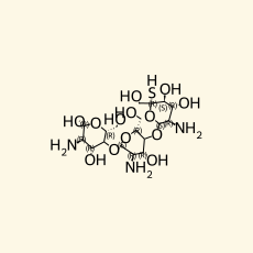 N[C@H]1[C@@H](OC2[C@@H](CO)O[C@@H](OC3[C@@H](CO)O[C@@H](O)[C@H](N)[C@H]3O)[C@H](N)[C@H]2O)O[C@@](S)(CO)[C@@H](O)[C@@H]1O